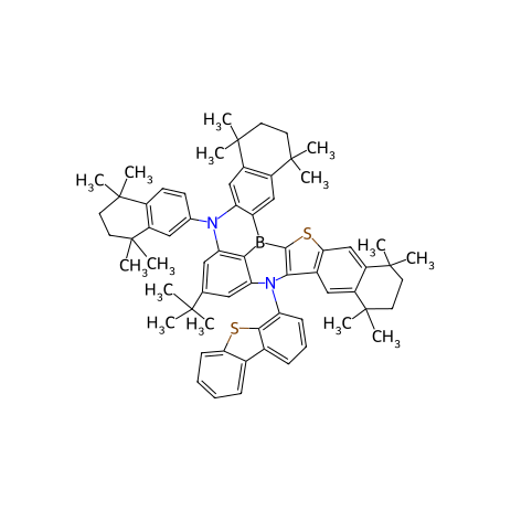 CC(C)(C)c1cc2c3c(c1)N(c1cccc4c1sc1ccccc14)c1c(sc4cc5c(cc14)C(C)(C)CCC5(C)C)B3c1cc3c(cc1N2c1ccc2c(c1)C(C)(C)CCC2(C)C)C(C)(C)CCC3(C)C